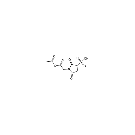 CC(=O)OC(=S)CN1C(=O)CC(S(=O)(=O)O)C1=O